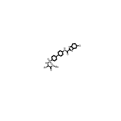 CC(C)C(NS(=O)(=O)c1ccc(-c2ccc(NC(=O)c3nc4cc(Cl)ccc4s3)cc2)cc1)C(=O)OC(C)(C)C